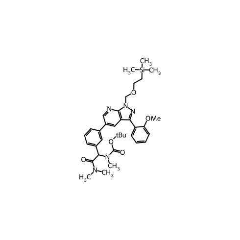 COc1ccccc1-c1nn(COCC[Si](C)(C)C)c2ncc(-c3cccc(C(C(=O)N(C)C)N(C)C(=O)OC(C)(C)C)c3)cc12